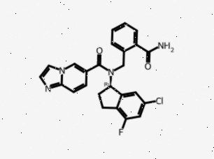 NC(=O)c1ccccc1CN(C(=O)c1ccc2nccn2c1)[C@@H]1CCc2c(F)cc(Cl)cc21